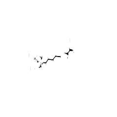 C=C(C)C(=O)OCCCCC[Si](CC)(CC)OC